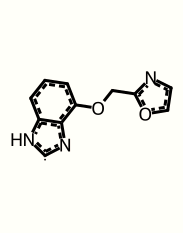 [c]1nc2c(OCc3ncco3)cccc2[nH]1